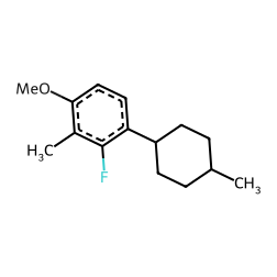 COc1ccc(C2CCC(C)CC2)c(F)c1C